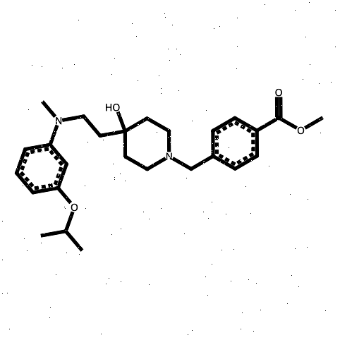 COC(=O)c1ccc(CN2CCC(O)(CCN(C)c3cccc(OC(C)C)c3)CC2)cc1